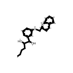 CCCCC(O)C(O)c1cccc(OCc2ccc3ccccc3n2)c1